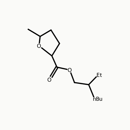 CCCCC(CC)COC(=O)C1CCC(C)O1